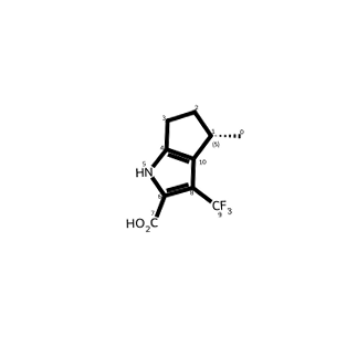 C[C@H]1CCc2[nH]c(C(=O)O)c(C(F)(F)F)c21